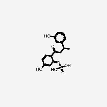 CC(CC(=O)C1C=CC(O)=CC1=NP(=O)(O)O)c1cccc(O)c1